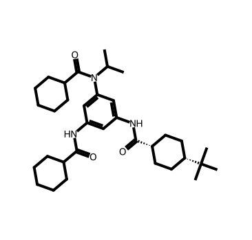 CC(C)N(C(=O)C1CCCCC1)c1cc(NC(=O)C2CCCCC2)cc(NC(=O)[C@H]2CC[C@@H](C(C)(C)C)CC2)c1